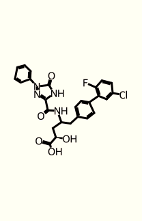 O=C(NC(Cc1ccc(-c2cc(Cl)ccc2F)cc1)C[C@@H](O)C(=O)O)c1nn(-c2ccccc2)c(=O)[nH]1